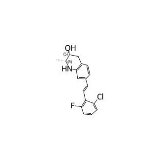 C[C@H]1Nc2cc(C=Cc3c(F)cccc3Cl)ccc2C[C@@H]1O